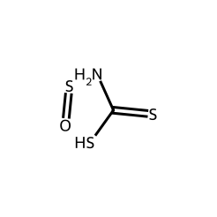 NC(=S)S.O=S